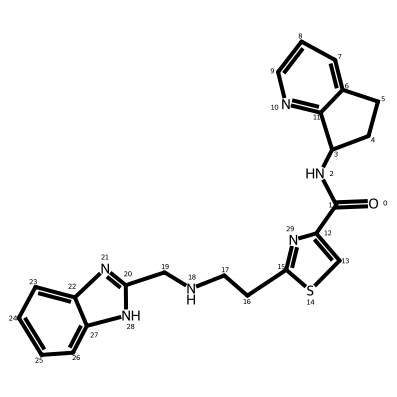 O=C(NC1CCc2cccnc21)c1csc(CCNCc2nc3ccccc3[nH]2)n1